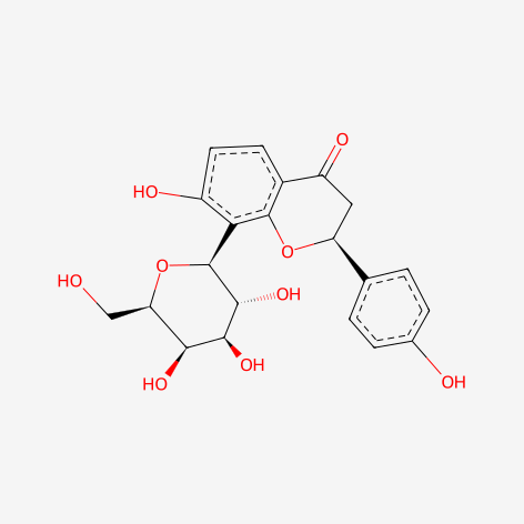 O=C1C[C@@H](c2ccc(O)cc2)Oc2c1ccc(O)c2[C@@H]1O[C@H](CO)[C@H](O)[C@H](O)[C@H]1O